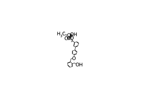 CC(C)OP(=O)(O)OCc1cccc(-c2ccc(OCc3ccccc3CO)cc2)c1